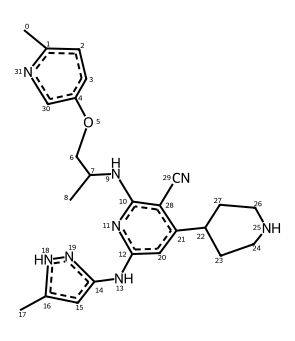 Cc1ccc(OCC(C)Nc2nc(Nc3cc(C)[nH]n3)cc(C3CCNCC3)c2C#N)cn1